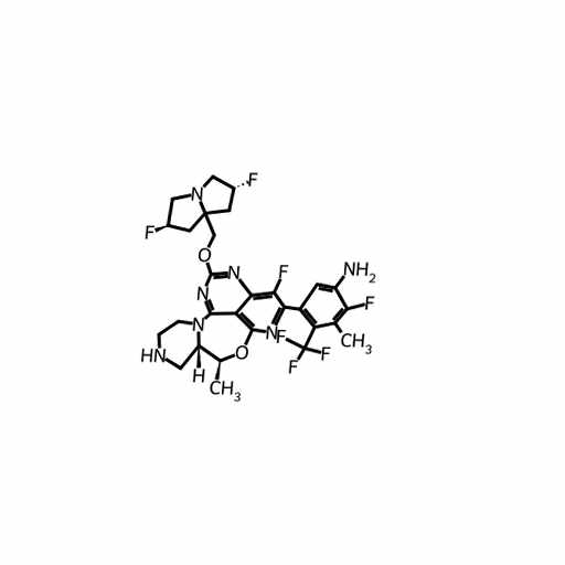 Cc1c(F)c(N)cc(-c2nc3c4c(nc(OCC56C[C@@H](F)CN5C[C@H](F)C6)nc4c2F)N2CCNC[C@H]2[C@H](C)O3)c1C(F)(F)F